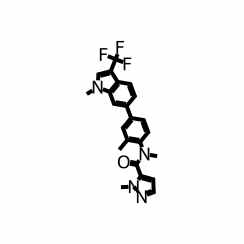 Cc1cc(-c2ccc3c(C(F)(F)F)cn(C)c3c2)ccc1N(C)C(=O)c1ccnn1C